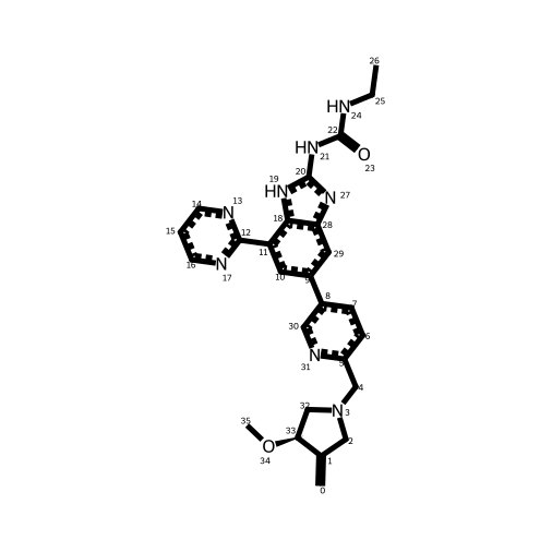 C=C1CN(Cc2ccc(-c3cc(-c4ncccn4)c4[nH]c(NC(=O)NCC)nc4c3)cn2)C[C@@H]1OC